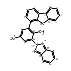 CC(C)(C)c1cc(-c2cccc3c2sc2ccccc23)c(O)c(-n2nc3ccccc3n2)c1